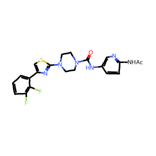 CC(=O)Nc1ccc(NC(=O)N2CCN(c3nc(-c4cccc(F)c4F)cs3)CC2)cn1